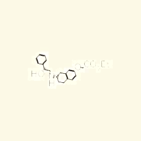 CCOC(=O)COc1ccc2c(c1)C[C@@H](NC[C@H](O)c1ccccc1)CC2